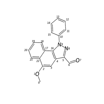 COc1cc2c(C=O)nn(-c3ccccc3)c2c2ccccc12